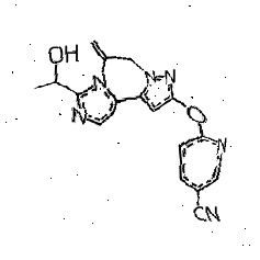 C=C1Cn2nc(Oc3ccc(C#N)cn3)cc2-c2cnc(C(C)O)n21